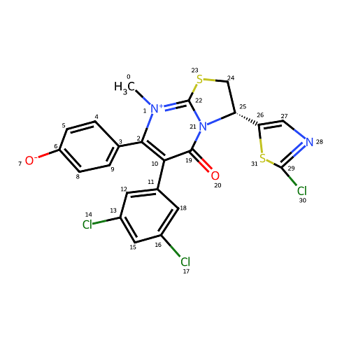 C[n+]1c(-c2ccc([O-])cc2)c(-c2cc(Cl)cc(Cl)c2)c(=O)n2c1SC[C@@H]2c1cnc(Cl)s1